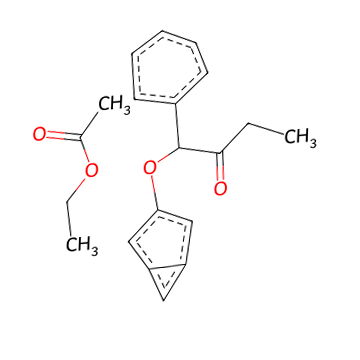 CCC(=O)C(Oc1cc2cc-2c1)c1ccccc1.CCOC(C)=O